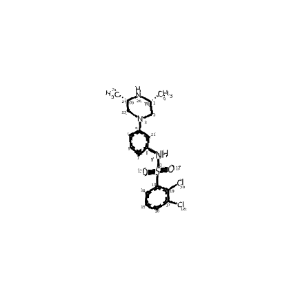 C[C@@H]1CN(c2cccc(NS(=O)(=O)c3cccc(Cl)c3Cl)c2)C[C@H](C)N1